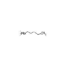 CCCC[CH2][Pb]